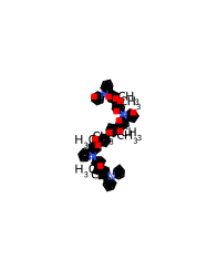 CC1(C)c2cc(C3=CC4C(C=C3)c3cc5c(cc3C4(C)C)C3C=CC=CC3N5c3ccc4c(c3)C(C)(C)c3cc5c6ccccc6n(-c6ccccc6)c5cc3-4)ccc2-c2cc3c(cc21)c1ccccc1n3-c1ccc2c(c1)C(C)(C)c1cc3c4ccccc4n(-c4ccccc4)c3cc1-2